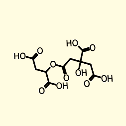 O=C(O)CC(OC(=O)CC(O)(CC(=O)O)C(=O)O)C(=O)O